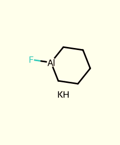 [F][Al]1[CH2]CCC[CH2]1.[KH]